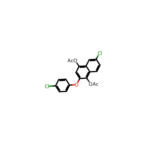 CC(=O)Oc1cc(Oc2ccc(Cl)cc2)c(OC(C)=O)c2ccc(Cl)cc12